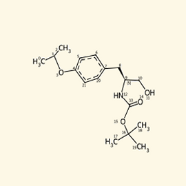 CC(C)Oc1ccc(C[C@@H](CO)NC(=O)OC(C)(C)C)cc1